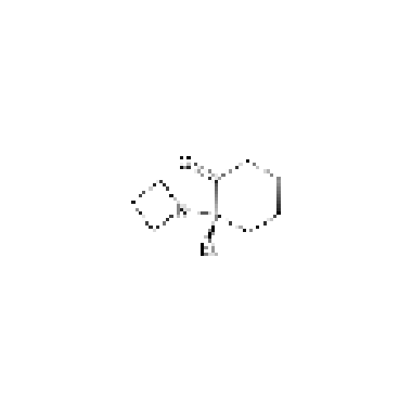 CC[C@]1(N2CCC2)CCCCC1=O